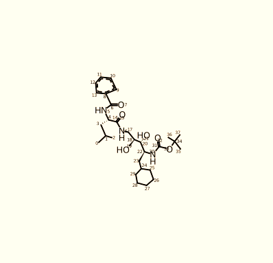 CC(C)C[C@H](NC(=O)c1ccccc1)C(=O)NC[C@H](O)[C@H](O)[C@H](CC1CCCCC1)NC(=O)OC(C)(C)C